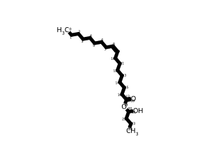 CCCCCCCC/C=C\CCCCCCCC(=O)OC(O)CCC